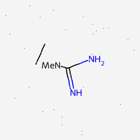 CC.CNC(=N)N